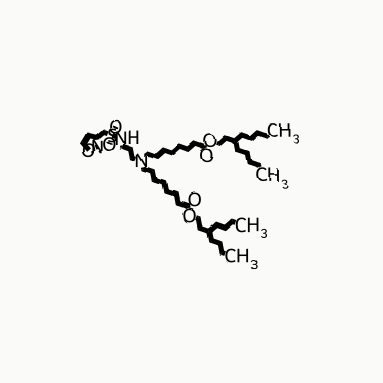 CCCCCC(CCCCC)CCOC(=O)CCCCCCCN(CCCCCCCC(=O)OCCC(CCCC)CCCC)CCCNS(=O)(=O)Cc1ccon1